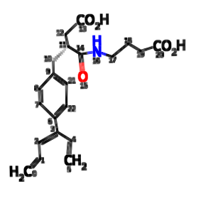 C=C/C=C(\C=C)c1ccc(C[C@H](CC(=O)O)C(=O)NCCCC(=O)O)cc1